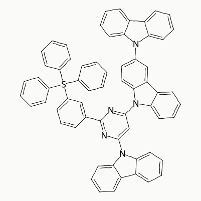 c1ccc(S(c2ccccc2)(c2ccccc2)c2cccc(-c3nc(-n4c5ccccc5c5ccccc54)cc(-n4c5ccccc5c5cc(-n6c7ccccc7c7ccccc76)ccc54)n3)c2)cc1